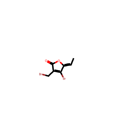 C/C=C1\OC(=O)C(CBr)=C1Br